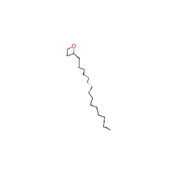 CCCCCCCCCCCCC[CH]CC1CCO1